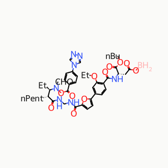 BOC(=O)C[C@H](NC(=O)c1ccc(-c2ccc(C(=O)NCNC(=O)[C@H](CCCCC)[C@@H](CC)N(C=O)OC(=O)c3ccc(-n4cnnc4)cc3)o2)cc1OCC)C(=O)OCCCC